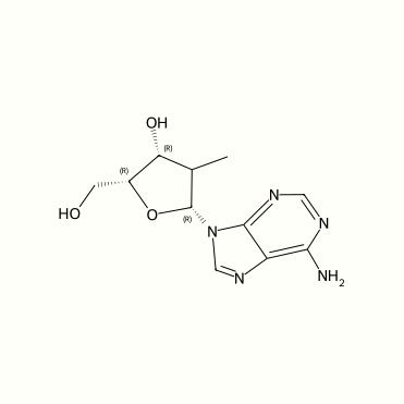 CC1[C@@H](O)[C@@H](CO)O[C@H]1n1cnc2c(N)ncnc21